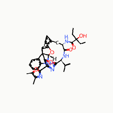 CCC(O)(CC)C(=O)N[C@H]1Cc2ccc3c(c2)C2(c4ccccc4N[C@H]2O3)c2oc(nc2-c2nc(C)c(C)o2)[C@H](C(C)C)NC1=O